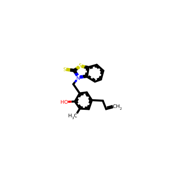 C=CCc1cc(C)c(O)c(Cn2c(=S)sc3ccccc32)c1